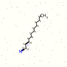 CCCCCCCCCC/C=C/CC#N